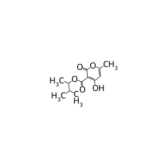 Cc1cc(O)c(C(=O)OC(C)C(C)C)c(=O)o1